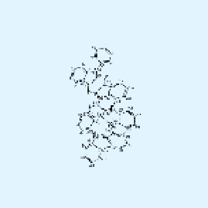 c1ccc(-n2c3ccccc3c3cc4c(cc32)c2cccc3c2n4-c2cccc4c2B3c2cccc3c5ccc6c7ccccc7n(-c7ccccc7)c6c5n-4c23)cc1